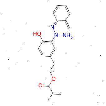 C=C(C)C(=O)OCCc1ccc(O)c(N(N)/N=C2/C=CC=CC2=C)c1